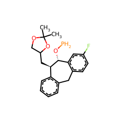 CC1(C)OCC(C[C@@H]2c3ccccc3Cc3ccc(F)cc3[C@H]2OP)O1